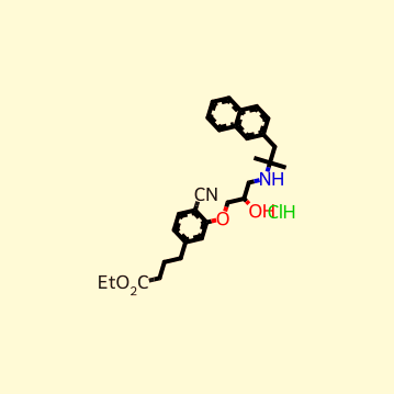 CCOC(=O)CCCc1ccc(C#N)c(OCC(O)CNC(C)(C)Cc2ccc3ccccc3c2)c1.Cl